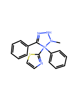 CN1NN=C(c2ccccc2)[N+]1(c1ccccc1)c1nccs1